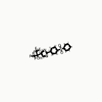 O=S(=O)(c1ccccc1)c1ccc(-c2ncc(C(O)(C(F)(F)F)C(F)(F)F)cn2)cc1